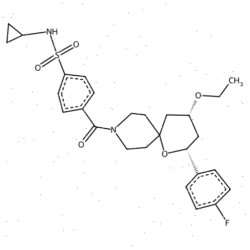 CCO[C@@H]1C[C@H](c2ccc(F)cc2)OC2(CCN(C(=O)c3ccc(S(=O)(=O)NC4CC4)cc3)CC2)C1